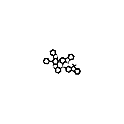 CC1(C)c2ccccc2-c2ccc(N(c3cccc4c3sc3ccccc34)c3cccc4oc5c(-c6ccccc6)c6c(cc5c34)oc3ccccc36)cc21